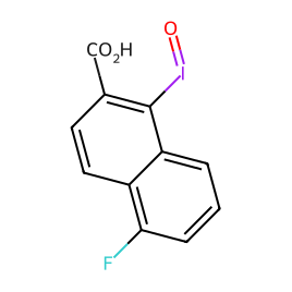 O=Ic1c(C(=O)O)ccc2c(F)cccc12